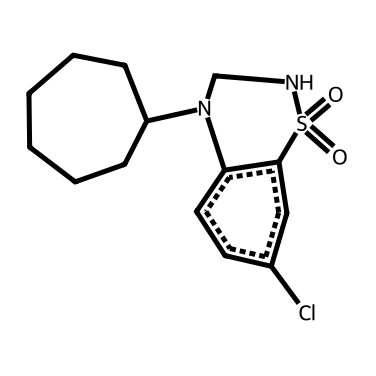 O=S1(=O)NCN(C2CCCCCC2)c2ccc(Cl)cc21